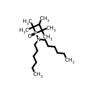 CCCCCCN(CCCCCC)P1(=O)C(C)(C)C(C)C1(C)C